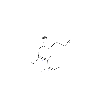 C=CCCC(CCC)C/C(=C(F)/C(C)=C\C)C(C)C